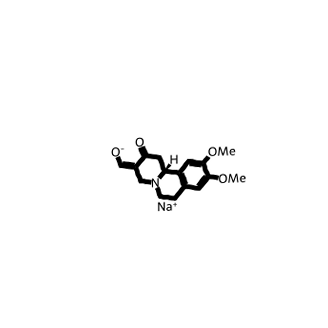 COc1cc2c(cc1OC)[C@H]1CC(=O)C(=C[O-])CN1CC2.[Na+]